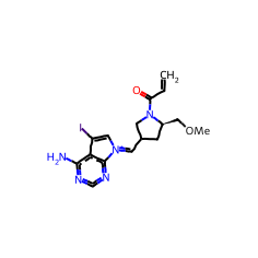 C=CC(=O)N1CC(/C=[N+]2\C=C(I)c3c(N)ncnc32)C[C@@H]1COC